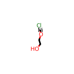 OCC[O][Ni][Cl]